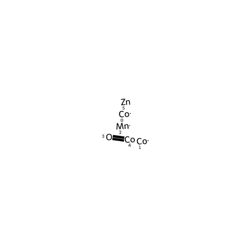 [Co].[Co].[Mn].[O]=[Co].[Zn]